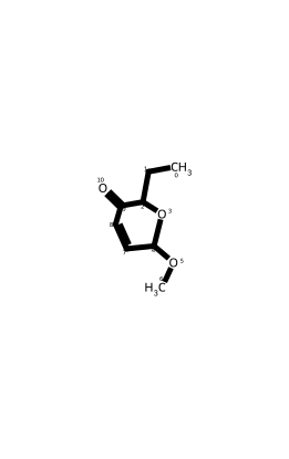 CCC1OC(OC)C=CC1=O